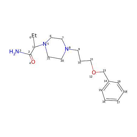 CCC(C(N)=O)N1CCN(CCCOCc2ccccc2)CC1